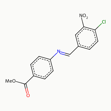 COC(=O)c1ccc(N=Cc2ccc(Cl)c([N+](=O)[O-])c2)cc1